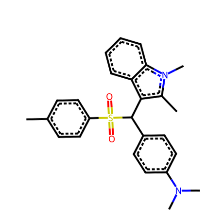 Cc1ccc(S(=O)(=O)C(c2ccc(N(C)C)cc2)c2c(C)n(C)c3ccccc23)cc1